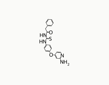 Nc1cc(Oc2ccc(NC(=S)NC(=O)Cc3ccccc3)cc2)ccn1